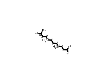 FC(F)CC[SiH2]CCC[SiH2]CCC(F)F